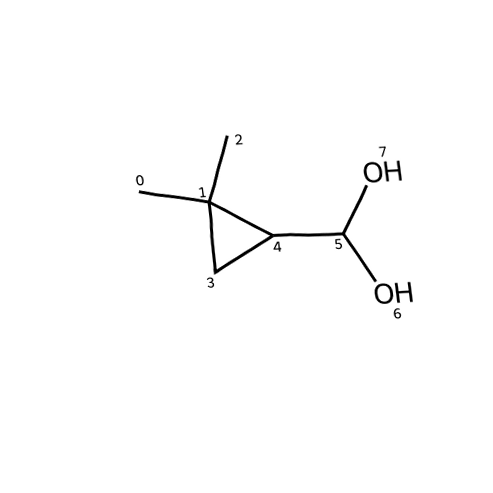 CC1(C)CC1C(O)O